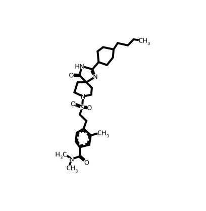 CCCCC1CCC(C2=NC3(CCN(S(=O)(=O)CCc4ccc(C(=O)N(C)C)cc4C)CC3)C(=O)N2)CC1